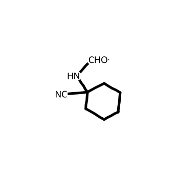 N#CC1(N[C]=O)CCCCC1